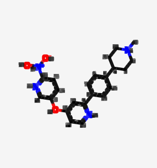 CN1CCC(c2ccc(-c3cc(Oc4ccc([N+](=O)[O-])nc4)ccn3)cc2)CC1